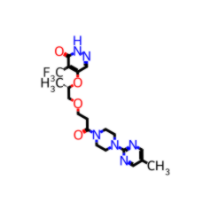 Cc1cnc(N2CCN(C(=O)CCOC[C@H](C)Oc3cn[nH]c(=O)c3C(F)(F)F)CC2)nc1